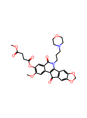 COC(=O)CCC(=O)Oc1cc2c(=O)n(CCCN3CCOCC3)c3c(c2cc1OC)C(=O)c1cc2c(cc1-3)OCO2